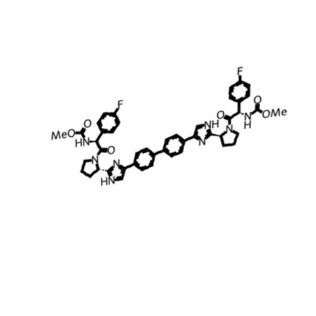 COC(=O)N[C@H](C(=O)N1CCC[C@H]1c1nc(-c2ccc(-c3ccc(-c4c[nH]c([C@@H]5CCCN5C(=O)[C@@H](NC(=O)OC)c5ccc(F)cc5)n4)cc3)cc2)c[nH]1)c1ccc(F)cc1